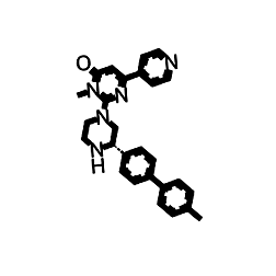 Cc1ccc(-c2ccc([C@H]3CN(c4nc(-c5ccncc5)cc(=O)n4C)CCN3)cc2)cc1